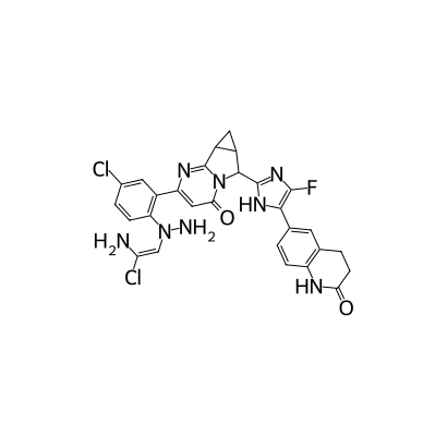 N/C(Cl)=C\N(N)c1ccc(Cl)cc1-c1cc(=O)n2c(n1)C1CC1C2c1nc(F)c(-c2ccc3c(c2)CCC(=O)N3)[nH]1